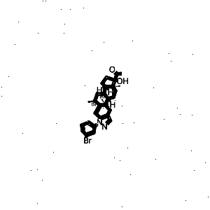 CC(=O)[C@@]1(O)CC[C@H]2[C@@H]3C[C@H](C)C4=Cc5c(cnn5-c5cccc(Br)c5)C[C@]4(C)[C@H]3CC[C@@]21C